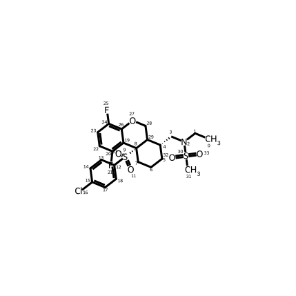 CCN(C[C@@H]1CCC[C@@]2(S(=O)(=O)c3ccc(Cl)cc3)c3c(F)ccc(F)c3OCC12)S(C)(=O)=O